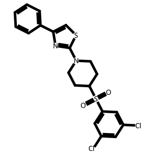 O=S(=O)(c1cc(Cl)cc(Cl)c1)C1CCN(c2nc(-c3ccccc3)cs2)CC1